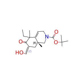 CCC1(C)C(=O)/C(=C\O)C[C@@]2(C)CN(C(=O)OC(C)(C)C)CC=C12